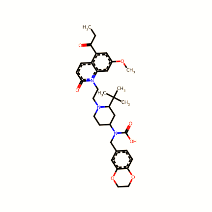 CCC(=O)c1cc(OC)cc2c1ccc(=O)n2CCN1CCC(N(Cc2ccc3c(c2)OCCO3)C(=O)O)CC1C(C)(C)C